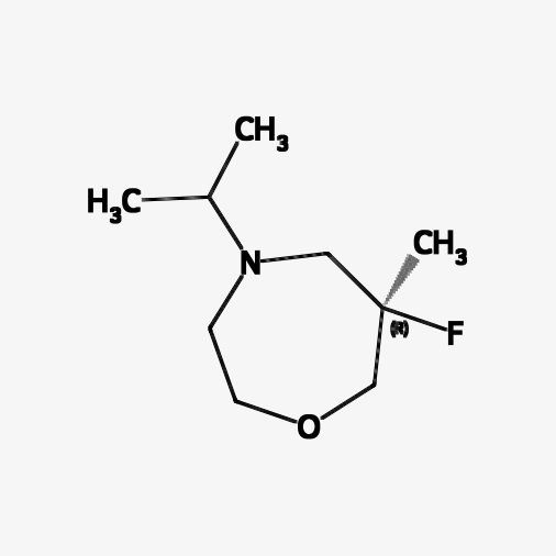 CC(C)N1CCOC[C@](C)(F)C1